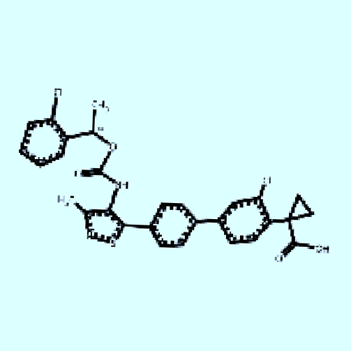 Cc1nsc(-c2ccc(-c3ccc(C4(C(=O)O)CC4)c(Cl)c3)cc2)c1NC(=O)O[C@H](C)c1ccccc1Cl